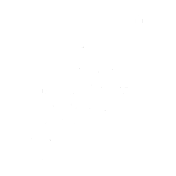 Cc1cc2c(c(-c3c(CCCCCCP)c(C)cc4c3CCCC4)c1CCCCCCP)CCCC2